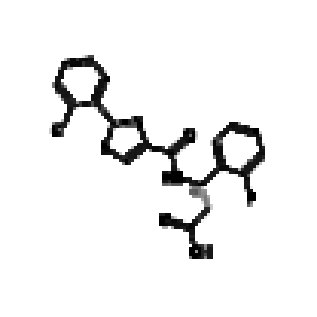 O=C(O)C[C@H](NC(=O)c1csc(-c2ccccc2Cl)n1)c1ccccc1F